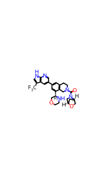 O=C(N1CCc2cc(-c3cnc4[nH]cc(C(F)(F)F)c4c3)cc([C@@H]3COCCN3)c2C1)N1C[C@H]2C[C@@H]1CO2